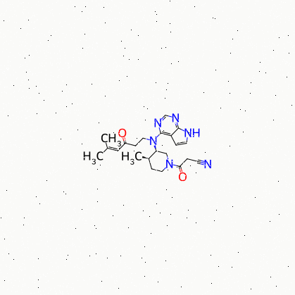 CC(C)=CC(=O)CCN(c1ncnc2[nH]ccc12)[C@H]1CN(C(=O)CC#N)CC[C@H]1C